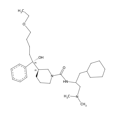 CCOCCCC[C@](O)(c1ccccc1)[C@@H]1CCCN(C(=O)NC(CC2CCCCC2)CN(C)C)C1